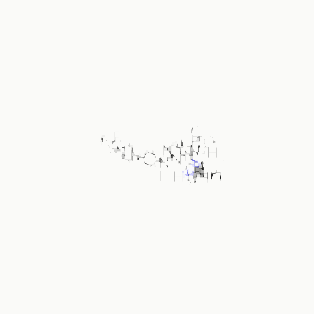 C=CCN(C)N(C(/C=C\C=O)=N/N(C)C(C)C)c1nc(Nc2ccc(N3CCN(CC(F)F)CC3)cc2)ncc1C=O